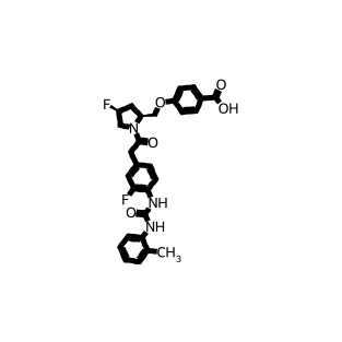 Cc1ccccc1NC(=O)Nc1ccc(CC(=O)N2C[C@@H](F)C[C@H]2COc2ccc(C(=O)O)cc2)cc1F